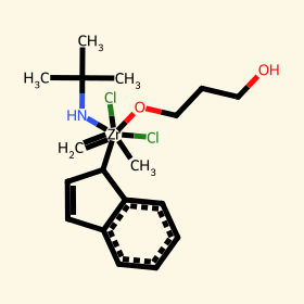 [CH2]=[Zr]([CH3])([Cl])([Cl])([NH]C(C)(C)C)([O]CCCO)[CH]1C=Cc2ccccc21